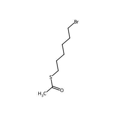 CC(=O)SCCCCCCBr